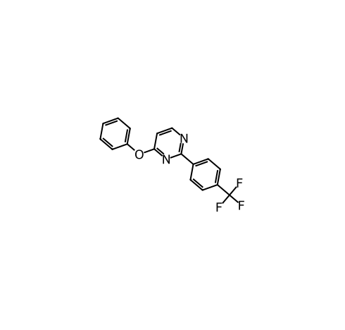 FC(F)(F)c1ccc(-c2nccc(Oc3ccccc3)n2)cc1